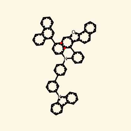 c1cc(-c2ccc(N(c3ccc(-c4cc5ccccc5c5ccccc45)cc3)c3ccccc3-c3cccc4oc5c6ccccc6ccc5c34)cc2)cc(-n2c3ccccc3c3ccccc32)c1